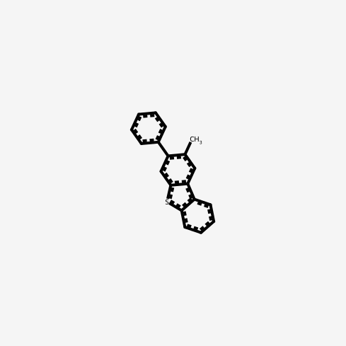 Cc1cc2c(cc1-c1ccccc1)sc1ccccc12